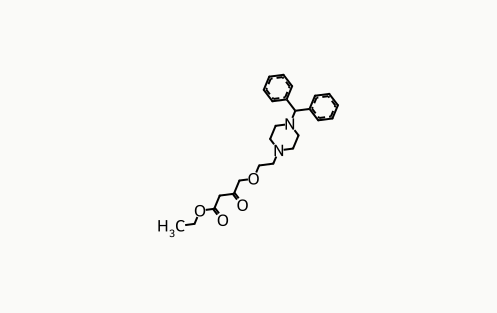 CCOC(=O)CC(=O)COCCN1CCN(C(c2ccccc2)c2ccccc2)CC1